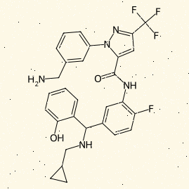 NCc1cccc(-n2nc(C(F)(F)F)cc2C(=O)Nc2cc(C(NCC3CC3)c3ccccc3O)ccc2F)c1